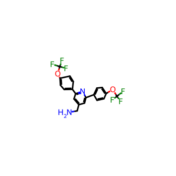 NCc1cc(-c2ccc(OC(F)(F)F)cc2)nc(-c2ccc(OC(F)(F)F)cc2)c1